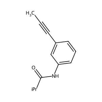 CC#Cc1cccc(NC(=O)C(C)C)c1